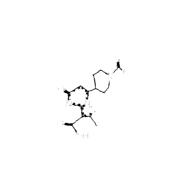 Cc1nn2c(C3CCN(C(=O)O)CC3)cc(=O)[nH]c2c1C(=O)O